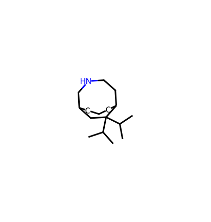 CC(C)C1(C(C)C)CC2CCCC1CCNC2